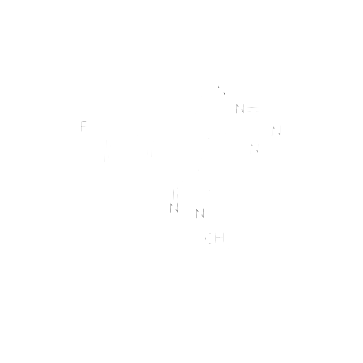 Cn1cc(-c2ccnn3cnnc23)c(-c2ccc(F)cc2)n1